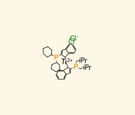 CC(C)CP(CC(C)C)C1=Cc2ccccc2[CH]1[Ti+2][CH]1C(P(C2CCCCC2)C2CCCCC2)=Cc2ccccc21.[Cl-].[Cl-]